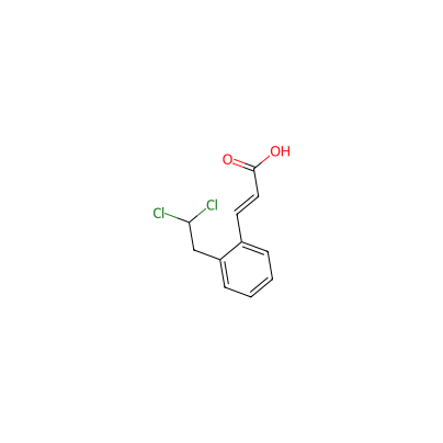 O=C(O)C=Cc1ccccc1CC(Cl)Cl